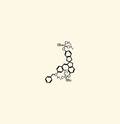 CC(C)(C)[Si](C)(C)Oc1ccc2c(c1)CC1(C2)Cc2ccc(O[Si](C)(C)C(C)(C)C)cc2C1=Cc1ccc(OCc2ccccc2)cc1